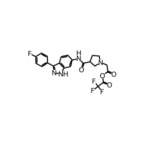 O=C(CN1CCC(C(=O)Nc2ccc3c(-c4ccc(F)cc4)n[nH]c3c2)C1)OC(=O)C(F)(F)F